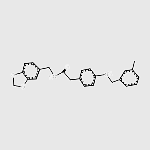 Cc1cccc(CNc2ccc(CC(=O)NCc3ccc4c(c3)OCO4)cc2)c1